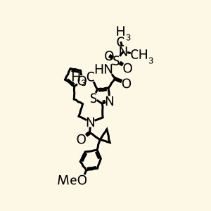 COc1ccc(C2(C(=O)N(CCCc3ccco3)Cc3nc(C(=O)NS(=O)(=O)N(C)C)c(C)s3)CC2)cc1